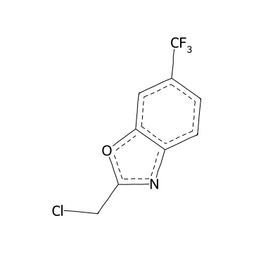 FC(F)(F)c1ccc2nc(CCl)oc2c1